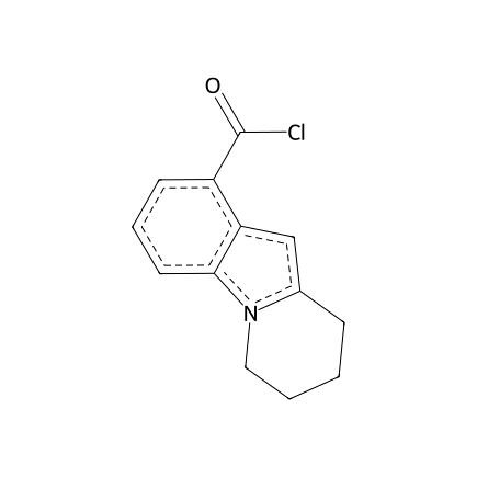 O=C(Cl)c1cccc2c1cc1n2CCCC1